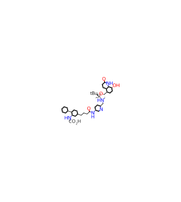 CC(C)(C)[Si](C)(C)O[C@@H](CNCc1ccc(NC(=O)CCCc2ccc(-c3ccccc3)c(NC(=O)O)c2)cn1)c1ccc(O)c2[nH]c(=O)ccc12